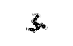 O=C(CCc1ccc2c(c1)N(Cc1ccc(C(=O)N3CC=CC3)cc1)C(=O)CN(C(=O)c1ccc(Cl)cc1)C2)N1CCNCC1.O=C(O)C(F)(F)F